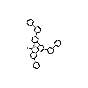 O=C1C2C=CC(c3ccccc3)=CC2c2cc(-c3cccc(-c4ccccc4)c3)cc3c4cc(-c5cccc(-c6ccccc6)c5)ccc4n1c23